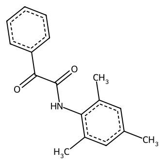 Cc1cc(C)c(NC(=O)C(=O)c2ccccc2)c(C)c1